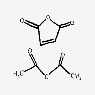 CC(=O)OC(C)=O.O=C1C=CC(=O)O1